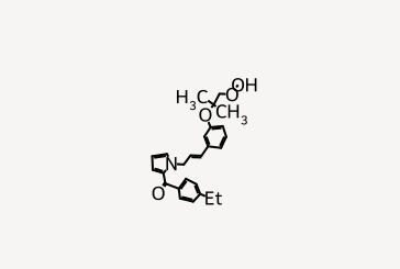 CCc1ccc(C(=O)c2cccn2C/C=C/c2cccc(OC(C)(C)COO)c2)cc1